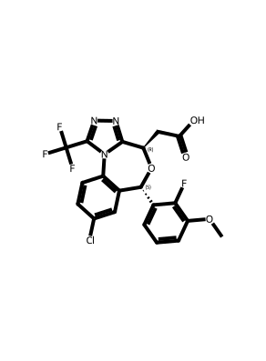 COc1cccc([C@H]2O[C@H](CC(=O)O)c3nnc(C(F)(F)F)n3-c3ccc(Cl)cc32)c1F